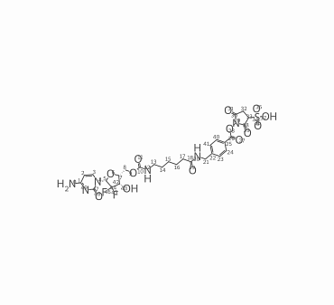 Nc1ccn([C@@H]2O[C@H](COC(=O)NCCCCCC(=O)NCc3ccc(C(=O)ON4C(=O)CC(S(=O)(=O)O)C4=O)cc3)[C@H](O)C2(F)F)c(=O)n1